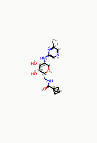 O=C(NC[C@H]1OC[C@H](Nc2cncc(C(F)(F)F)n2)[C@@H](O)[C@H]1O)C12CC(C1)C2